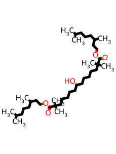 CC(C)CCCC(C)CCOC(=O)C(C)(C)CCCCCC(O)CCCCCC(C)(C)C(=O)OCCC(C)CCCC(C)C